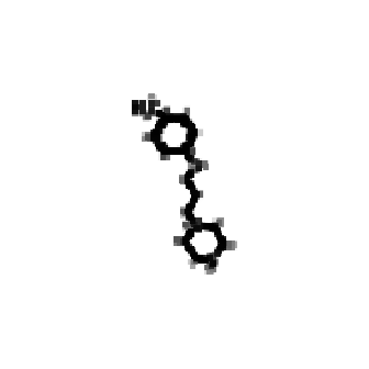 Cc1ccc(OCCCN2CCSCC2)cc1